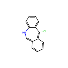 C1=c2ccccc2=Cc2ccccc2N1.Cl